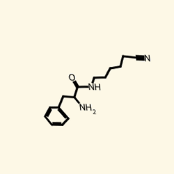 N#CCCCCCNC(=O)C(N)Cc1ccccc1